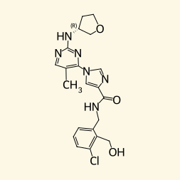 Cc1cnc(N[C@@H]2CCOC2)nc1-n1cnc(C(=O)NCc2cccc(Cl)c2CO)c1